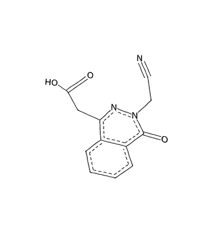 N#CCn1nc(CC(=O)O)c2ccccc2c1=O